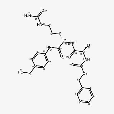 CC[C@@H](NC(=O)OCc1ccccc1)C(=O)N[C@@H](CCCNC(N)=O)C(=O)Nc1ccc(CO)cc1